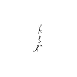 CC#CC(C)CC=CCCC=CC